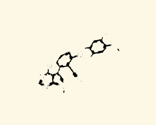 COc1cc(F)c(SNc2cccc(-c3cn(C)c4ncnc(N)c34)c2C#N)cc1Cl